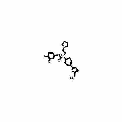 NCc1ccc(C2=CCC(N(CCN3CCCC3)C(=O)Nc3ccc(F)c(Cl)c3)CC2)s1